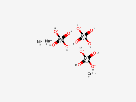 [Cr+3].[Na+].[Ni+2].[O]=[Mn](=[O])([O-])[O-].[O]=[Mn](=[O])([O-])[O-].[O]=[Mn](=[O])([O-])[O-]